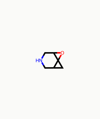 C1NCC2OC23CC13